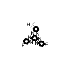 Cc1ccc2nc3c(nc2c1)c1nc2ccc(F)cc2nc1c1nc2ccc(F)cc2nc31